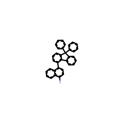 Ic1ccc(-c2cccc3c2-c2ccccc2C3(c2ccccc2)c2ccccc2)c2ccccc12